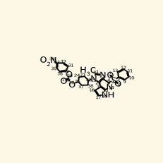 Cc1nc2c(S(=O)(=O)c3ccccc3)nc3[nH]ccc3c2n1C1CCC(OC(=O)Oc2ccc([N+](=O)[O-])cc2)CC1